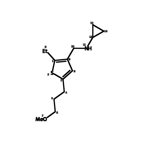 CCc1sc(CCCOC)cc1CNC1CC1